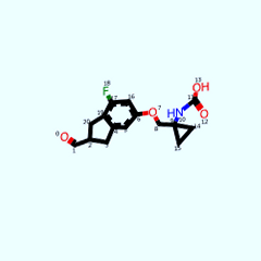 O=CC1Cc2cc(OCC3(NC(=O)O)CC3)cc(F)c2C1